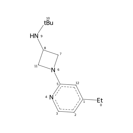 CCc1ccnc(N2CC(NC(C)(C)C)C2)c1